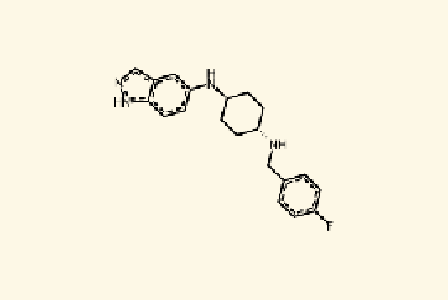 Fc1ccc(CN[C@H]2CC[C@H](Nc3ccc4[nH]ncc4c3)CC2)cc1